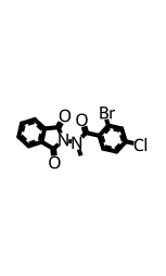 CN(C(=O)c1ccc(Cl)cc1Br)N1C(=O)c2ccccc2C1=O